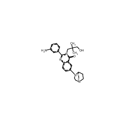 CC(C)(CO)Cn1c(-c2cccc(N)c2)nc2ccc(N3CCN4CCC3CC4)cc2c1=O